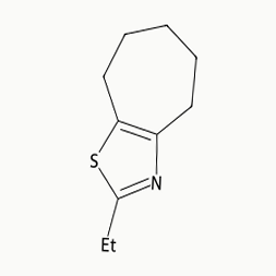 CCc1nc2c(s1)CCCCC2